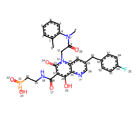 Cc1ccccc1N(C)C(=O)Cn1c(=O)c(C(=O)NCC[PH](=O)O)c(O)c2ncc(Cc3ccc(F)cc3)cc21